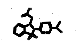 CC(C)c1ccc(N2C(CC(=O)O)c3ccccc3S2(=O)=O)cc1